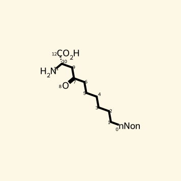 CCCCCCCCCCCCCCCC(=O)C[C@H](N)C(=O)O